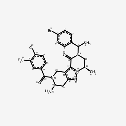 CC(c1ccc(Br)nc1)N1C[C@@H](C)n2nc3c(c2C1=O)CN(C(=O)c1ccc(Cl)c(C(F)(F)F)c1)[C@H](C)C3